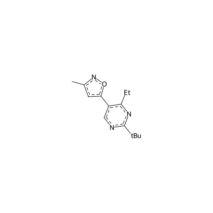 CCc1nc(C(C)(C)C)ncc1-c1cc(C)no1